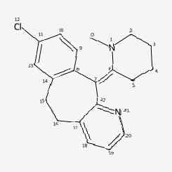 CN1CCCCC1=C1c2ccc(Cl)cc2CCc2cccnc21